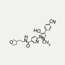 CN1CC(c2ccc(C#N)cc2)=C(O)N1c1ccc(C(=O)NCCC2CCOC2)cn1